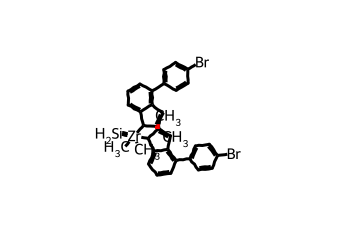 CC1=Cc2c(-c3ccc(Br)cc3)cccc2[CH]1[Zr]([CH3])([CH3])(=[SiH2])[CH]1C(C)=Cc2c(-c3ccc(Br)cc3)cccc21